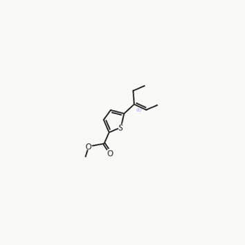 C/C=C(\CC)c1ccc(C(=O)OC)s1